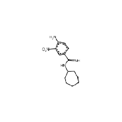 N=C(NC1CCCCCC1)c1ccc(N)c([N+](=O)[O-])c1